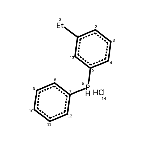 CCc1cccc(Pc2ccccc2)c1.Cl